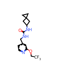 O=C(NCc1ccnc(OCC(F)(F)F)c1)NC1CC2(CC2)C1